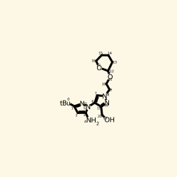 CC(C)(C)c1cc(N)n(-c2cn(CCOC3CCCCO3)nc2CO)n1